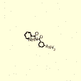 O=C(NC(=O)c1ccccn1)c1c[c]cc([AsH2])c1